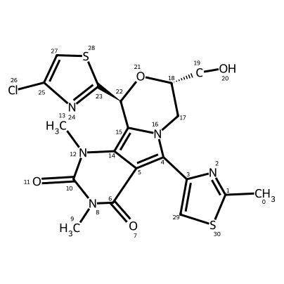 Cc1nc(-c2c3c(=O)n(C)c(=O)n(C)c3c3n2C[C@@H](CO)O[C@@H]3c2nc(Cl)cs2)cs1